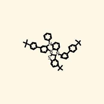 CC(C)(C)c1ccc(-c2cccc(N3c4cccc5c4B(c4ccc(-c6ccc(C(C)(C)C)cc6)cc4N5c4ccccc4)C4Sc5ccc(C(C)(C)C)cc5C43)c2)cc1